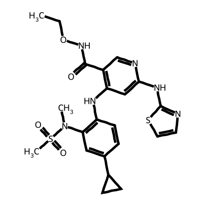 CCONC(=O)c1cnc(Nc2nccs2)cc1Nc1ccc(C2CC2)cc1N(C)S(C)(=O)=O